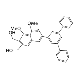 COc1nc(-c2cc(-c3ccccc3)cc(-c3ccccc3)c2)cc2cc(CO)c(CO)c(OC)c12